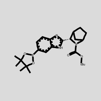 CC(C)(C)OC(=O)N1C2CCC(C2)[C@H]1c1nc2ccc(B3OC(C)(C)C(C)(C)O3)cc2[nH]1